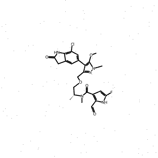 COc1c(-c2cc(Cl)c3c(c2)CC(=O)N3)c(COC[C@@H](C)N(C)C(=O)c2cc(F)[nH]c2C=O)nn1C